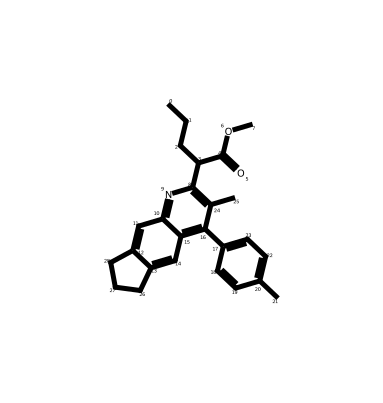 CCCC(C(=O)OC)c1nc2cc3c(cc2c(-c2ccc(C)cc2)c1C)CCC3